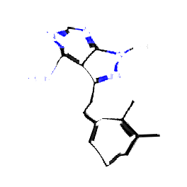 Cc1cccc(Cc2nn(C(C)(C)C)c3ncnc(N)c23)c1C